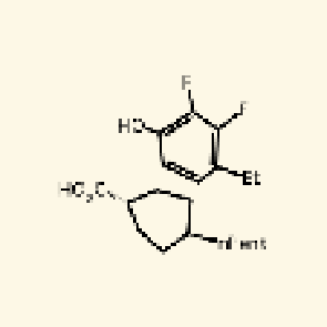 CCCCC[C@H]1CC[C@H](C(=O)O)CC1.CCc1ccc(O)c(F)c1F